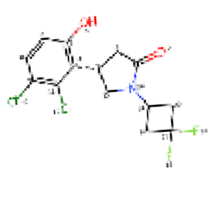 O=C1C[C@@H](c2c(O)ccc(Cl)c2Cl)CN1C1CC(F)(F)C1